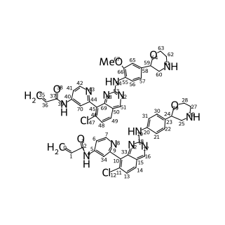 C=CC(=O)Nc1ccnc(-c2c(Cl)ccc3cnc(Nc4ccc(C5CNCCO5)cc4)nc23)c1.C=CC(=O)Nc1ccnc(-c2c(Cl)ccc3cnc(Nc4ccc(C5CNCCO5)cc4OC)nc23)c1